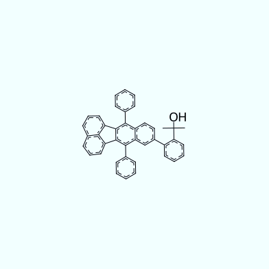 CC(C)(O)c1ccccc1-c1ccc2c(-c3ccccc3)c3c(c(-c4ccccc4)c2c1)-c1cccc2cccc-3c12